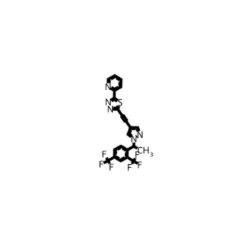 CC(c1ccc(C(F)(F)F)cc1C(F)(F)F)n1cc(C#Cc2nnc(-c3ccccn3)s2)cn1